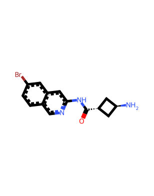 N[C@H]1C[C@H](C(=O)Nc2cc3cc(Br)ccc3cn2)C1